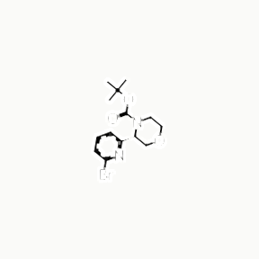 CC(C)(C)OC(=O)N1CCOC[C@H]1c1cccc(Br)n1